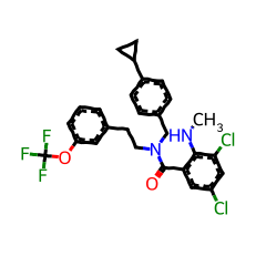 CNc1c(Cl)cc(Cl)cc1C(=O)N(CCc1cccc(OC(F)(F)F)c1)Cc1ccc(C2CC2)cc1